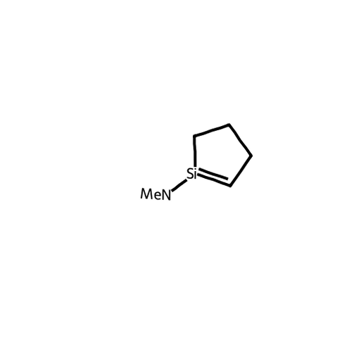 CN[Si]1=CCCC1